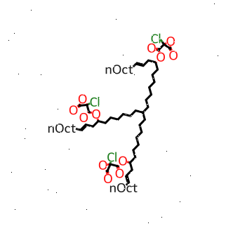 CCCCCCCCC=CCC(CCCCCCCC(CCCCCCCC(CC=CCCCCCCCC)OC(=O)C1(Cl)OC1=O)CCCCCCC(CC=CCCCCCCCC)OC(=O)C1(Cl)OC1=O)OC(=O)C1(Cl)OC1=O